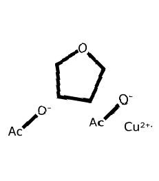 C1CCOC1.CC(=O)[O-].CC(=O)[O-].[Cu+2]